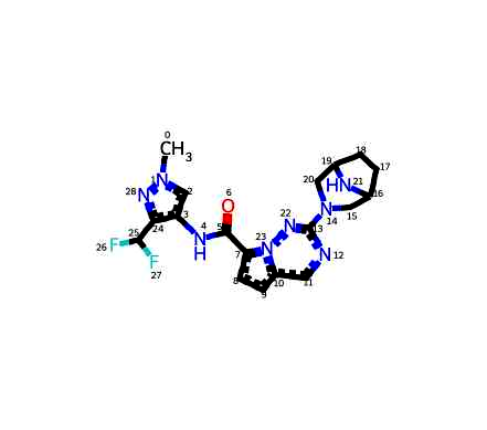 Cn1cc(NC(=O)c2ccc3cnc(N4CC5CCC(C4)N5)nn23)c(C(F)F)n1